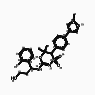 Cn1cc(-c2ccc(C3C(C)(C)OC(N[C@@H](CCO)c4ccccc4F)=NS3(=O)=O)cc2)cn1